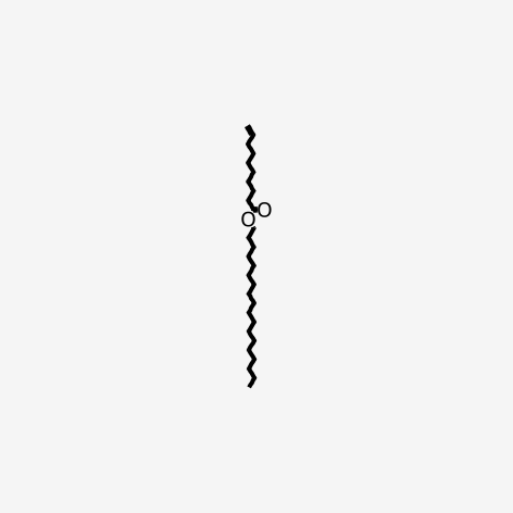 C=CCCCCCCCC(=O)OCCCCCCCCCCCCCCCCCC